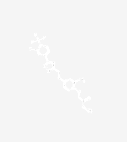 COC(=O)COc1ccc(SCc2nnc(-c3ccc(C(F)(F)F)c(F)c3)s2)cc1C